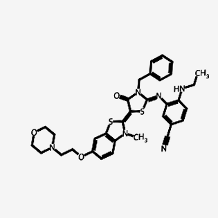 CCNc1ccc(C#N)cc1N=C1SC(=C2Sc3cc(OCCN4CCOCC4)ccc3N2C)C(=O)N1Cc1ccccc1